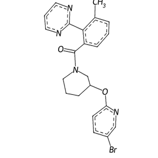 Cc1cccc(C(=O)N2CCCC(Oc3ccc(Br)cn3)C2)c1-c1ncccn1